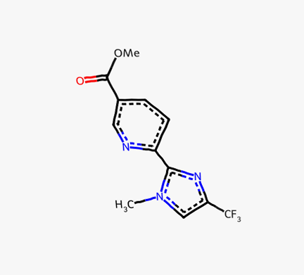 COC(=O)c1ccc(-c2nc(C(F)(F)F)cn2C)nc1